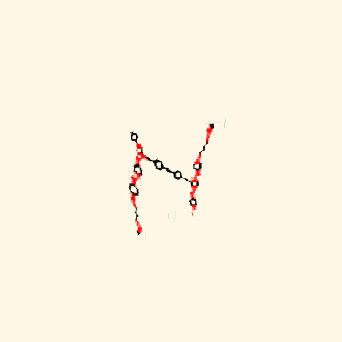 C=CC(=O)OCCCCCCOC(=O)C1CCC(C(=O)Oc2ccc(C(=O)OC3(C#Cc4ccc(C#Cc5ccc(C#Cc6cc(OC(=O)c7ccc(OCCCCCC)cc7)ccc6OC(=O)c6ccc(OCCCCCCOC(=O)C=C)cc6)cc5)cc4)CC4CC3CC4c3ccc(CCCC)cc3)cc2)CC1